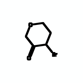 O=C1COCCC1Br